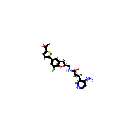 CC(=O)c1ccc(-c2cc(Cl)c3c(c2)CC(CNC(=O)/C=C/c2cnccc2N)O3)s1